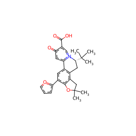 CC1(C)Cc2c3c(cc(-c4ccco4)c2O1)-c1cc(=O)c(C(=O)O)cn1[C@H](C(C)(C)C)C3